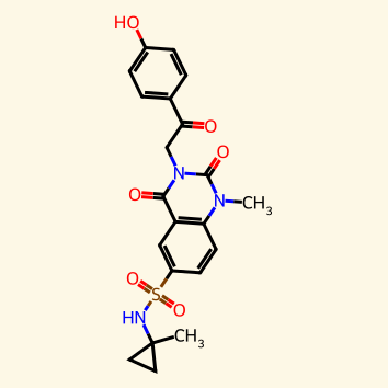 Cn1c(=O)n(CC(=O)c2ccc(O)cc2)c(=O)c2cc(S(=O)(=O)NC3(C)CC3)ccc21